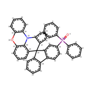 O=P(c1ccccc1)(c1ccccc1)c1ccc2c(c1)C1(c3ccccc3-2)c2ccccc2N2c3ccccc3Oc3cccc1c32